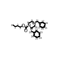 CCCCOC(=O)N1CCN(Cc2ccccc2)C[C@@H]1Cc1ccccc1